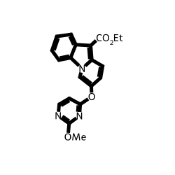 CCOC(=O)c1c2ccccc2n2cc(Oc3ccnc(OC)n3)ccc12